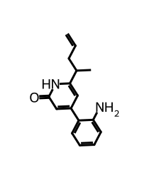 C=CCC(C)c1cc(-c2ccccc2N)cc(=O)[nH]1